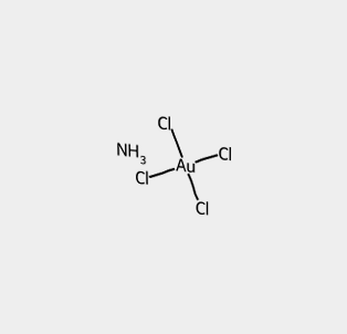 N.[Cl][Au]([Cl])([Cl])[Cl]